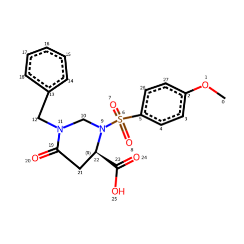 COc1ccc(S(=O)(=O)N2CN(Cc3ccccc3)C(=O)C[C@@H]2C(=O)O)cc1